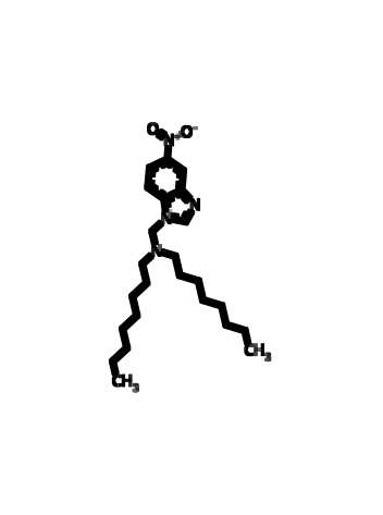 CCCCCCCCN(CCCCCCCC)Cn1cnc2cc([N+](=O)[O-])ccc21